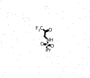 CC(C)S(=O)(=O)NCC(=O)C(F)(F)F